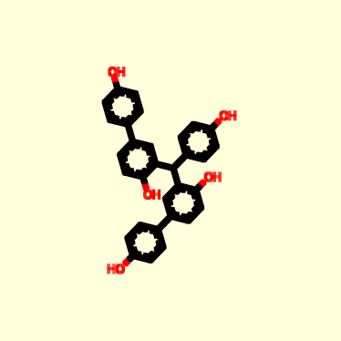 Oc1ccc(-c2ccc(O)c(C(c3ccc(O)cc3)c3cc(-c4ccc(O)cc4)ccc3O)c2)cc1